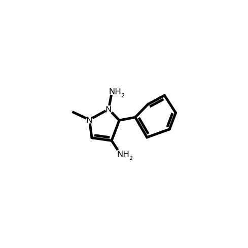 CN1C=C(N)C(c2ccccc2)N1N